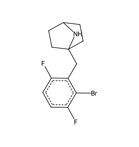 Fc1ccc(F)c(CC23CCC(CC2)N3)c1Br